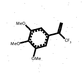 C=C(c1cc(OC)c(OC)c(OC)c1)C(F)(F)F